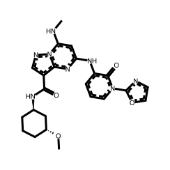 CNc1cc(Nc2cccn(-c3ncco3)c2=O)nc2c(C(=O)N[C@@H]3CCC[C@@H](OC)C3)cnn12